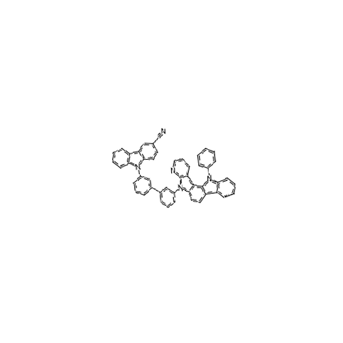 N#Cc1ccc2c(c1)c1ccccc1n2-c1cccc(-c2cccc(-n3c4ccc5c6ccccc6n(-c6ccccc6)c5c4c4cccnc43)c2)c1